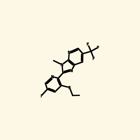 CCSc1cc(I)cnc1-c1nc2cc(C(F)(F)F)cnc2n1C